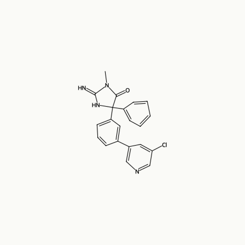 CN1C(=N)NC(c2ccccc2)(c2cccc(-c3cncc(Cl)c3)c2)C1=O